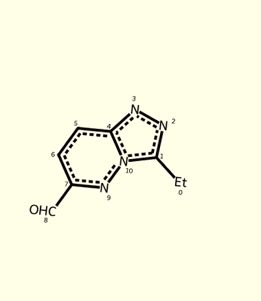 CCc1nnc2ccc(C=O)nn12